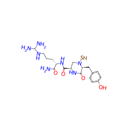 NC(=O)[C@H](CCCNC(N)N)NC(=O)[C@H]1CN(S)[C@@H](Cc2ccc(O)cc2)C(=O)N1